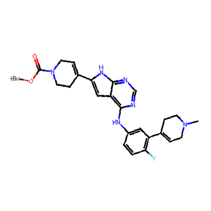 CN1CC=C(c2cc(Nc3ncnc4[nH]c(C5=CCN(C(=O)OC(C)(C)C)CC5)cc34)ccc2F)CC1